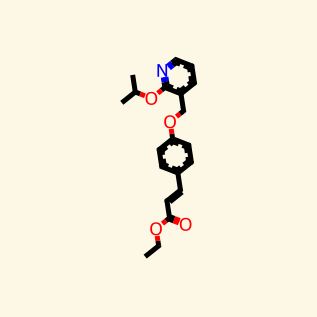 CCOC(=O)/C=C/c1ccc(OCc2cccnc2OC(C)C)cc1